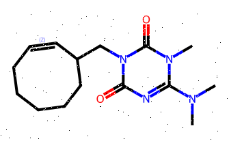 CN(C)c1nc(=O)n(CC2/C=C\CCCCC2)c(=O)n1C